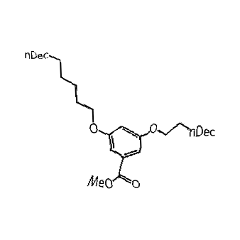 CCCCCCCCCCCCCCCOc1cc(OCCCCCCCCCCCC)cc(C(=O)OC)c1